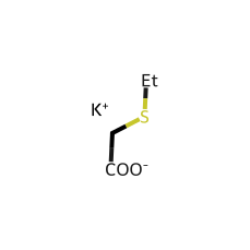 CCSCC(=O)[O-].[K+]